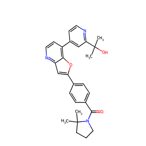 CC(C)(O)c1cc(-c2ccnc3cc(-c4ccc(C(=O)N5CCCC5(C)C)cc4)oc23)ccn1